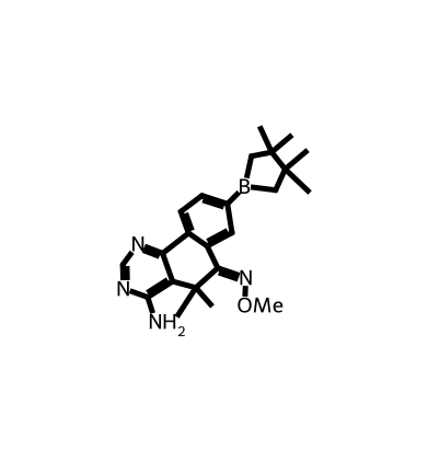 CON=C1c2cc(B3CC(C)(C)C(C)(C)C3)ccc2-c2ncnc(N)c2C1(C)C